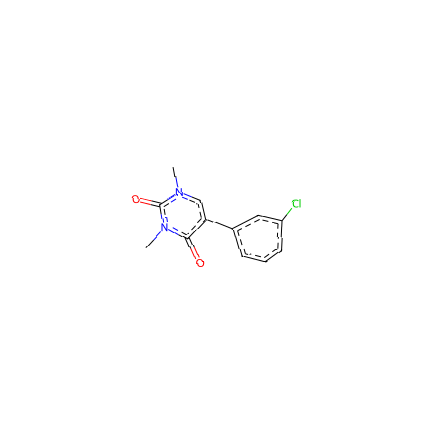 Cn1cc(-c2cccc(Cl)c2)c(=O)n(C)c1=O